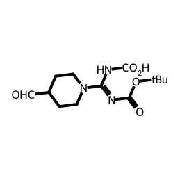 CC(C)(C)OC(=O)N=C(NC(=O)O)N1CCC(C=O)CC1